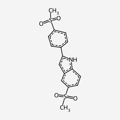 CS(=O)(=O)c1ccc(-c2cc3cc(S(C)(=O)=O)ccc3[nH]2)cc1